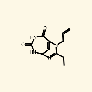 C=CCN1C2=CC(N=C1CC)NC(=O)NC2=O